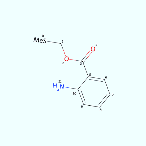 CSCOC(=O)c1ccccc1N